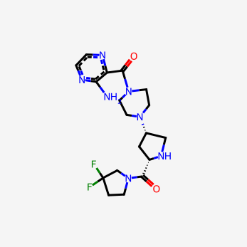 Nc1nccnc1C(=O)N1CCN([C@@H]2CN[C@H](C(=O)N3CCC(F)(F)C3)C2)CC1